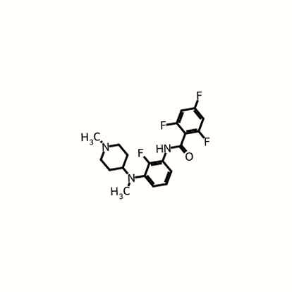 CN1CCC(N(C)c2cccc(NC(=O)c3c(F)cc(F)cc3F)c2F)CC1